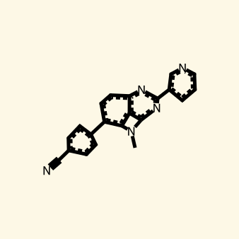 CN1c2nc(-c3cccnc3)nc3ccc(-c4ccc(C#N)cc4)c1c23